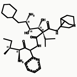 CC[C@H](C)[C@H](N)C(=O)C(NC(=O)[C@@](C(=O)NC1CN2CCC1CC2)(C(C)C)[C@@H](O)[C@H](O)[C@@H](N)CC1CCCCC1)c1ccccn1